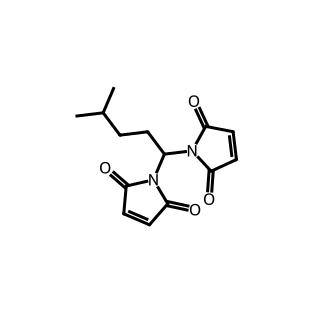 CC(C)CCC(N1C(=O)C=CC1=O)N1C(=O)C=CC1=O